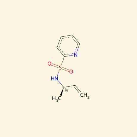 C=C[C@@H](C)NS(=O)(=O)c1ccccn1